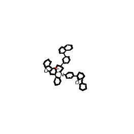 c1cc(-c2cccc(N(c3ccc(-c4cccc5c4oc4ccccc45)cc3)c3ccccc3-c3ccc4c(c3)oc3ccccc34)c2)cc(-c2cccc3ccccc23)c1